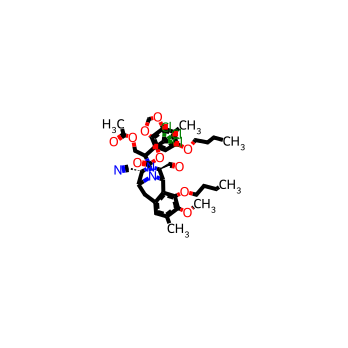 CCCCOc1cc(C(COC(C)=O)N2[C@@H](C#N)C3Cc4cc(C)c(OC)c(OCCCC)c4C([C@@H]2C=O)N3C(=O)OCC(Cl)(Cl)Cl)c2c(c1C)OCO2